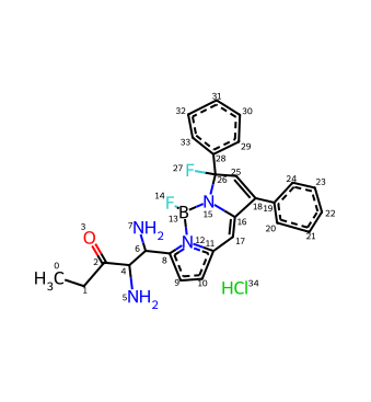 CCC(=O)C(N)C(N)c1ccc2n1B(F)N1C(=C2)C(c2ccccc2)=CC1(F)c1ccccc1.Cl